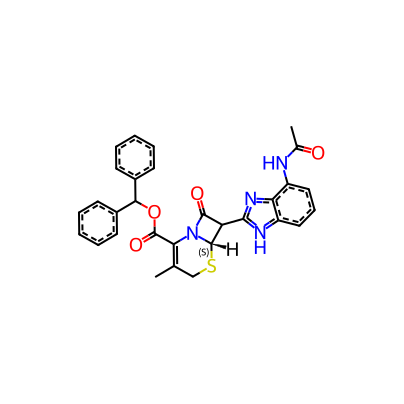 CC(=O)Nc1cccc2[nH]c(C3C(=O)N4C(C(=O)OC(c5ccccc5)c5ccccc5)=C(C)CS[C@@H]34)nc12